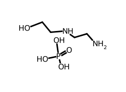 NCCNCCO.O=P(O)(O)O